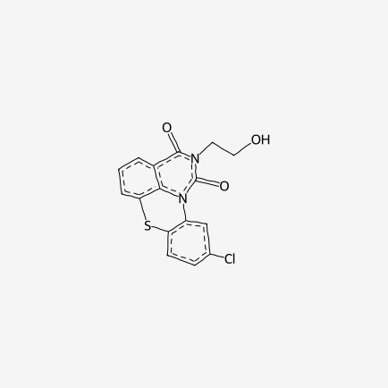 O=c1c2cccc3c2n(c(=O)n1CCO)-c1cc(Cl)ccc1S3